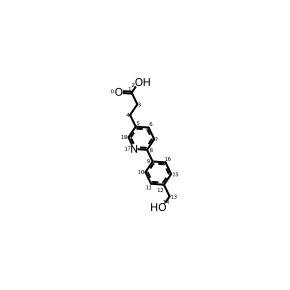 O=C(O)CCc1ccc(-c2ccc(CO)cc2)nc1